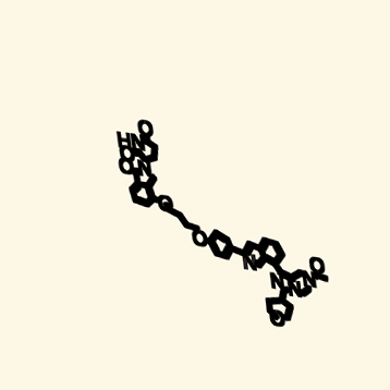 CC(=O)N1CCn2c(C3CCOCC3)nc(-c3cccc4cc(-c5ccc(OCCCCOc6cccc7c6CN(C6CCC(=O)NC6=O)C7=O)cc5)ncc34)c2C1